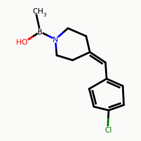 CB(O)N1CCC(=Cc2ccc(Cl)cc2)CC1